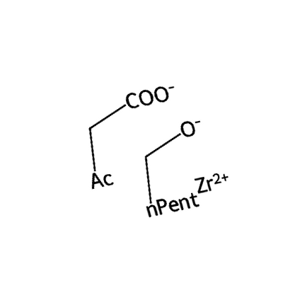 CC(=O)CC(=O)[O-].CCCCCC[O-].[Zr+2]